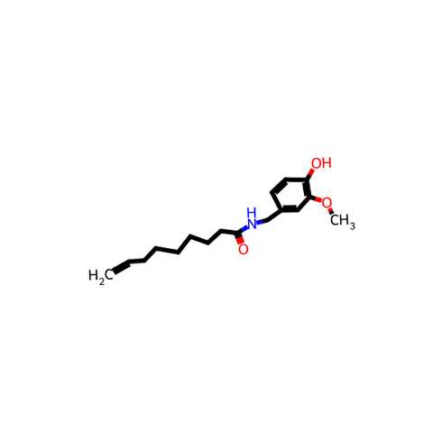 C=CCCCCCCC(=O)NCc1ccc(O)c(OC)c1